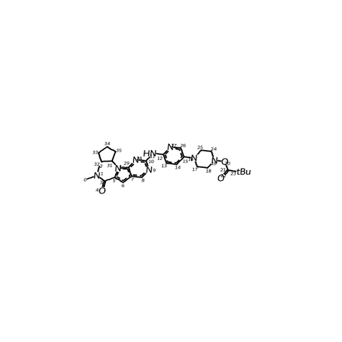 CN(C)C(=O)c1cc2cnc(Nc3ccc(N4CCN(OC(=O)C(C)(C)C)CC4)cn3)nc2n1C1CCCC1